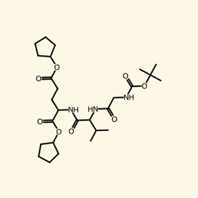 CC(C)C(NC(=O)CNC(=O)OC(C)(C)C)C(=O)NC(CCC(=O)OC1CCCC1)C(=O)OC1CCCC1